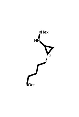 CCCCCCCCCCCC[C@H]1CC1NCCCCCC